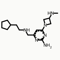 CNC1CN(c2cc(CNCCC3CCCC3)nc(N)n2)C1